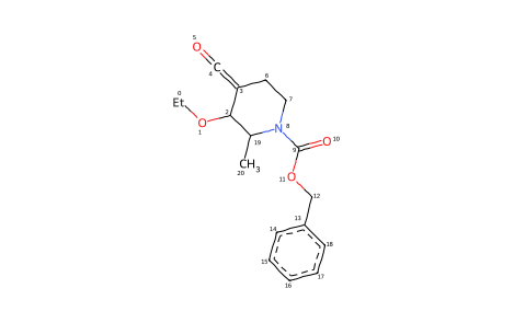 CCOC1C(=C=O)CCN(C(=O)OCc2ccccc2)C1C